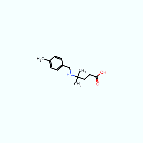 Cc1ccc(CNC(C)(C)CCC(=O)O)cc1